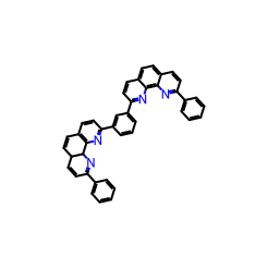 C1=CC2C=Cc3ccc(-c4cccc(-c5ccc6ccc7ccc(-c8ccccc8)nc7c6n5)c4)nc3C2N=C1c1ccccc1